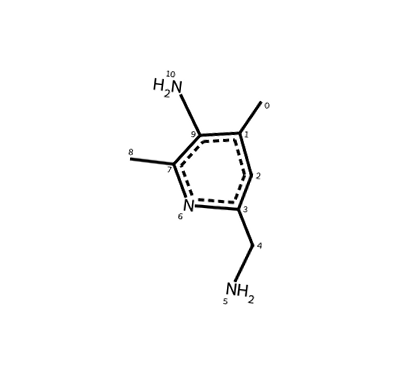 Cc1cc(CN)nc(C)c1N